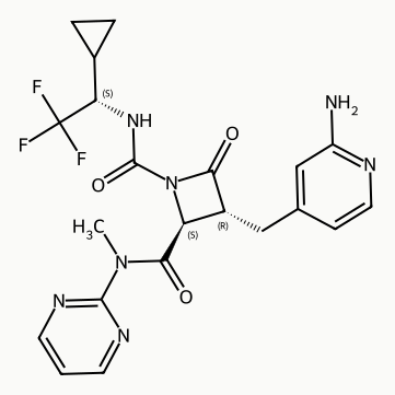 CN(C(=O)[C@@H]1[C@@H](Cc2ccnc(N)c2)C(=O)N1C(=O)N[C@@H](C1CC1)C(F)(F)F)c1ncccn1